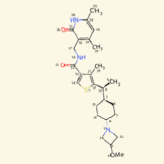 COC1CN([C@H]2CC[C@H]([C@H](C)c3scc(C(=O)NCc4c(C)cc(C)[nH]c4=O)c3C)CC2)C1